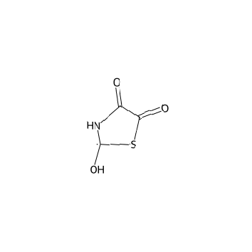 O=C1N[C](O)SC1=O